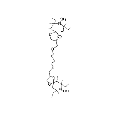 CCC1(C)CC2(OCC(COCCCCOCC3COC4(CC(C)(CC)N(O)C(C)(CC)C4C)O3)O2)C(C)C(C)(CC)N1O